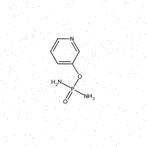 NP(N)(=O)Oc1cccnc1